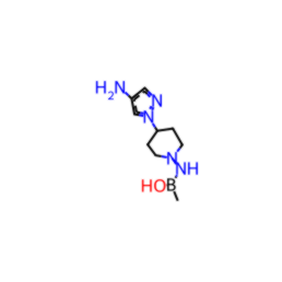 CB(O)NN1CCC(n2cc(N)cn2)CC1